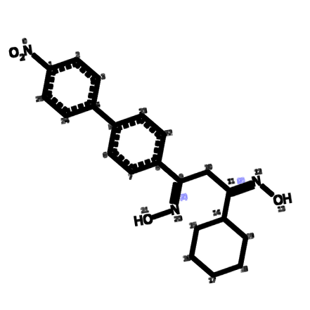 O=[N+]([O-])c1ccc(-c2ccc(/C(C/C(=N/O)C3CCCCC3)=N\O)cc2)cc1